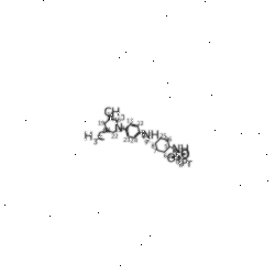 CC(C)S(=O)(=O)N[C@H]1CC[C@H](CNc2ccc(N3C[C@H](C)C[C@H](C)C3)cc2)CC1